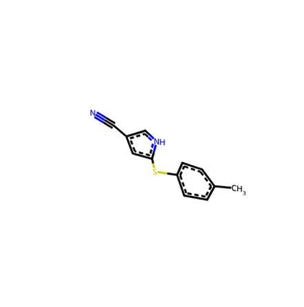 Cc1ccc(Sc2cc(C#N)c[nH]2)cc1